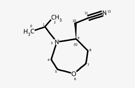 CC(C)N1CCOCC[C@@H]1CC#N